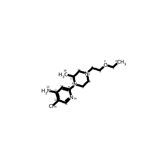 CCOCCN1CCN(c2cc(N)c(Cl)cn2)C(C)C1